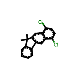 CC1(C)c2ccccc2-c2cc3c(Cl)ccc(Cl)c3cc21